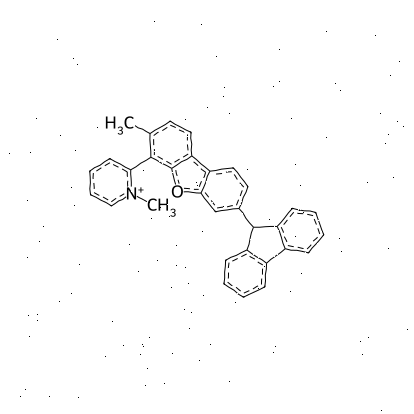 Cc1ccc2c(oc3cc(C4c5ccccc5-c5ccccc54)ccc32)c1-c1cccc[n+]1C